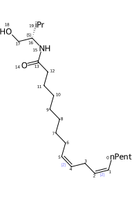 CCCCC/C=C\C/C=C\CCCCCCCC(=O)N[C@H](CO)C(C)C